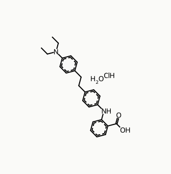 CCN(CC)c1ccc(CCc2ccc(Nc3ccccc3C(=O)O)cc2)cc1.Cl.O